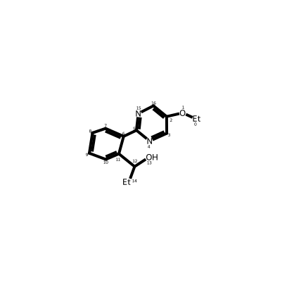 CCOc1cnc(-c2ccccc2C(O)CC)nc1